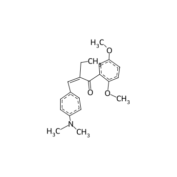 CCC(=Cc1ccc(N(C)C)cc1)C(=O)c1cc(OC)ccc1OC